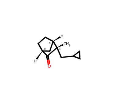 C[C@@]1(CC2CC2)C(=O)[C@@H]2CC[C@H]1C2